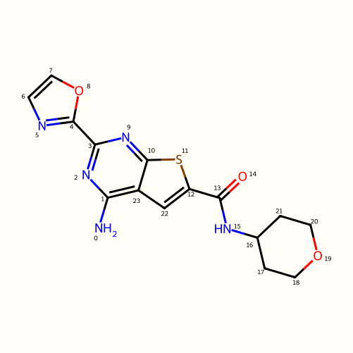 Nc1nc(-c2ncco2)nc2sc(C(=O)NC3CCOCC3)cc12